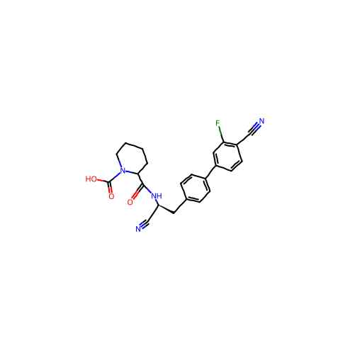 N#Cc1ccc(-c2ccc(C[C@@H](C#N)NC(=O)C3CCCCN3C(=O)O)cc2)cc1F